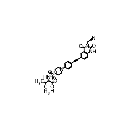 CC(C)[C@@H](NS(=O)(=O)N1CCN(c2ccc(C#Cc3ccc4[nH]c(=O)n(CC#N)c(=O)c4c3)cc2)CC1)C(=O)O